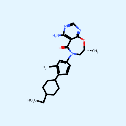 Cc1cc(N2C[C@@H](C)Oc3ncnc(N)c3C2=O)ccc1C1CCC(CC(=O)O)CC1